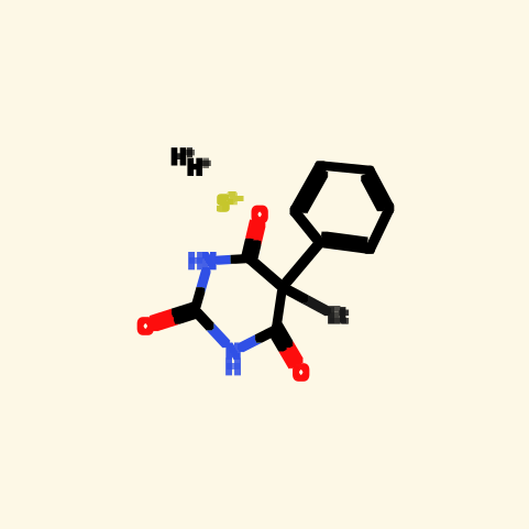 CCC1(c2ccccc2)C(=O)NC(=O)NC1=O.[H+].[H+].[S-2]